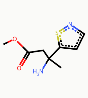 COC(=O)CC(C)(N)c1ccns1